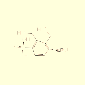 C#Cc1ccc(P(=O)(O)O)c(CC)c1CC